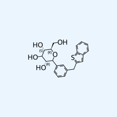 OC[C@H]1OC(c2cccc(Cc3cc4ccccc4s3)c2)[C@H](O)C(O)[C@@H]1O